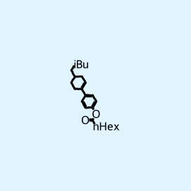 CCCCCCC(=O)Oc1ccc(C2=CCC(CC(C)CC)CC2)cc1